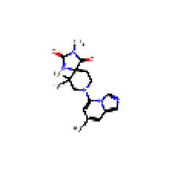 Cc1cc(N2CCC3(NC(=O)N(C)C3=O)C(C)(C)C2)n2cncc2c1